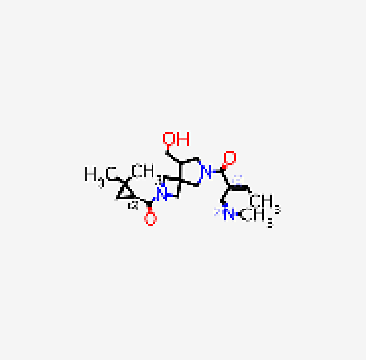 C/C=C(\C=N/C)C(=O)N1CC(CO)C2(C1)CN(C(=O)[C@H]1CC1(C)C)C2